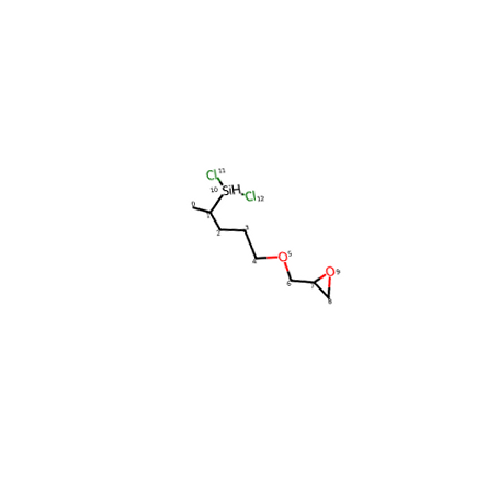 CC(CCCOCC1CO1)[SiH](Cl)Cl